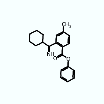 Cc1ccc(C(=O)Oc2ccccc2)c(C(=N)C2CCCCC2)c1